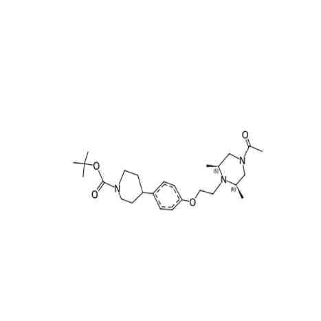 CC(=O)N1C[C@@H](C)N(CCOc2ccc(C3CCN(C(=O)OC(C)(C)C)CC3)cc2)[C@@H](C)C1